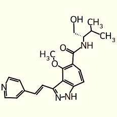 COc1c(C(=O)N[C@H](CO)C(C)C)ccc2[nH]nc(/C=C/c3ccncc3)c12